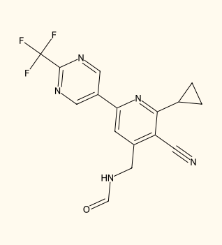 N#Cc1c(CNC=O)cc(-c2cnc(C(F)(F)F)nc2)nc1C1CC1